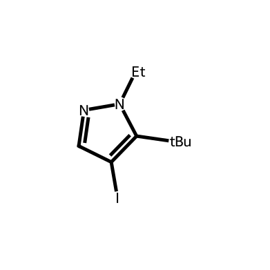 CCn1ncc(I)c1C(C)(C)C